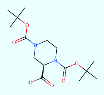 CC(C)(C)OC(=O)N1CCN(C(=O)OC(C)(C)C)[C@@H](C([O])=O)C1